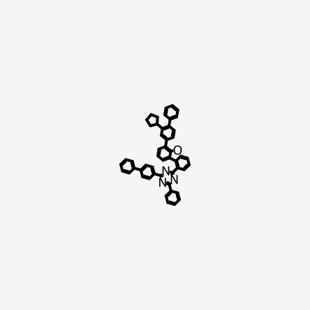 c1ccc(-c2ccc(-c3nc(-c4ccccc4)nc(-c4cccc5oc6c(-c7ccc(-c8ccccc8)c(C8CCCC8)c7)cccc6c45)n3)cc2)cc1